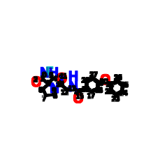 NC(=O)C1(CF)CCCN1C(=O)CNC(=O)c1ccc(Oc2ccccc2)cc1